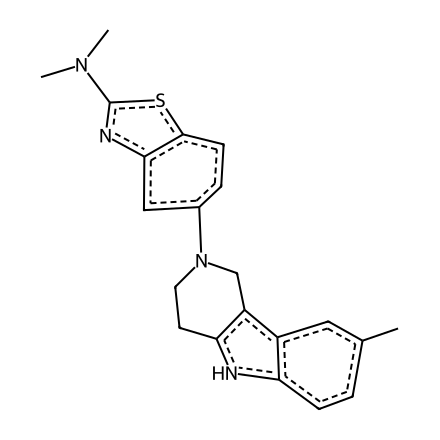 Cc1ccc2[nH]c3c(c2c1)CN(c1ccc2sc(N(C)C)nc2c1)CC3